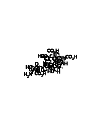 CC(C)C[C@H](NC(=O)[C@H](CCC(=O)O)NC(=O)[C@H](CCC(=O)O)NC(=O)[C@H](C)NC(=O)[C@@H](NC(=O)[C@H](Cc1ccc(O)cc1)NC(=O)[C@H](CCC(=O)O)NC(=O)CNC(=O)[C@H](CO)NC(=O)CN)[C@@H](C)O)C(=O)O